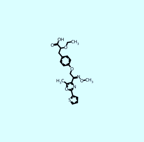 CCOC(Cc1ccc(OCC(=NOC)c2nc(-c3cccs3)oc2C)cc1)C(=O)O